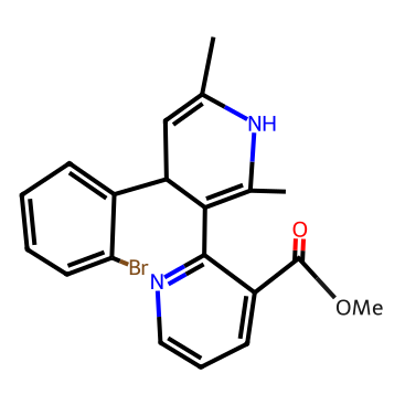 COC(=O)c1cccnc1C1=C(C)NC(C)=CC1c1ccccc1Br